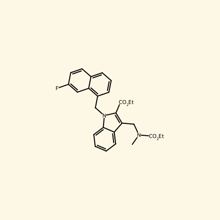 CCOC(=O)c1c(CN(C)C(=O)OCC)c2ccccc2n1Cc1cccc2ccc(F)cc12